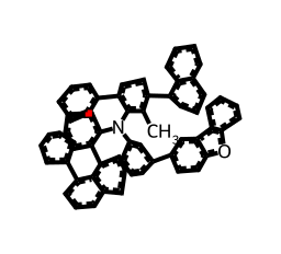 Cc1c(-c2cccc3ccccc23)ccc(-c2ccccc2)c1N(c1cccc(-c2ccc3oc4ccccc4c3c2)c1)c1ccccc1-c1cccc2cccc(-c3ccccc3)c12